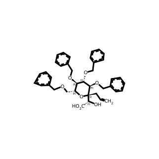 C=CC[C@@]1([C@H](O)C(=O)O)O[C@H](COCc2ccccc2)[C@@H](OCc2ccccc2)[C@H](OCc2ccccc2)[C@H]1OCc1ccccc1